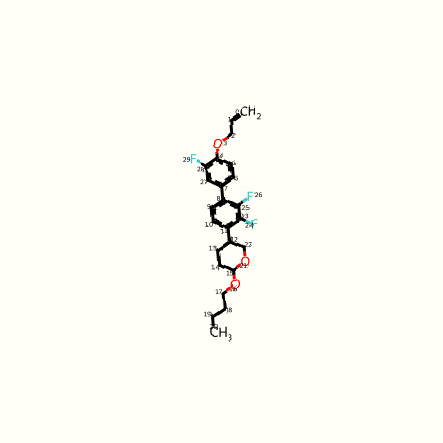 C=CCOc1ccc(-c2ccc(C3CCC(OCCCC)OC3)c(F)c2F)cc1F